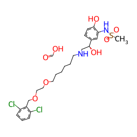 CS(=O)(=O)Nc1cc([C@@H](O)CNCCCCCCOCCOCc2c(Cl)cccc2Cl)ccc1O.O=CO